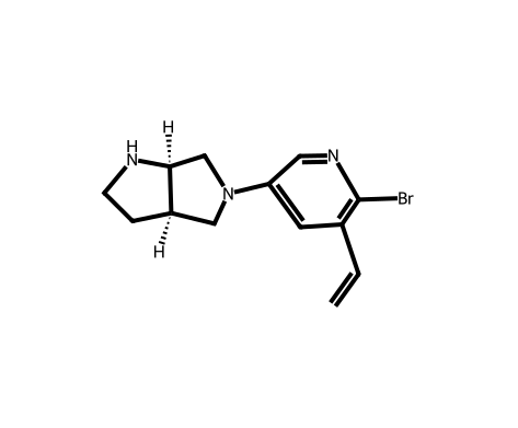 C=Cc1cc(N2C[C@H]3CCN[C@H]3C2)cnc1Br